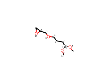 C[O][Al]([CH2]CCOCC1CO1)[O]C